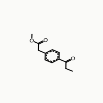 CCC(=O)c1ccc(CC(=O)OC)cc1